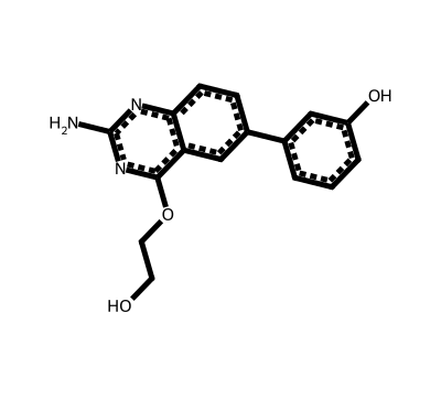 Nc1nc(OCCO)c2cc(-c3cccc(O)c3)ccc2n1